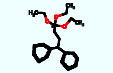 CCO[Si](CCC(c1ccccc1)c1ccccc1)(OCC)OCC